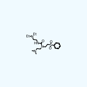 CCN(CC)CCNC(=O)N(CCN(C)C)CCS(=O)(=O)c1ccccc1